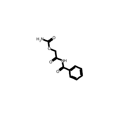 NC(=O)OCC(=O)NC(=O)c1ccccc1